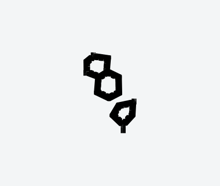 c1c[nH]cn1.c1ccc2ncncc2c1